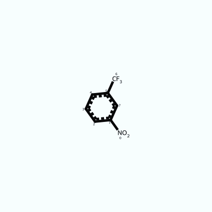 O=[N+]([O-])c1c[c]cc(C(F)(F)F)c1